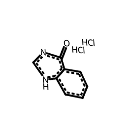 Cl.Cl.O=c1nc[nH]c2ccccc12